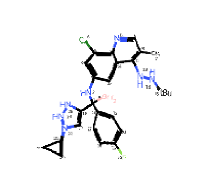 BC(Nc1cc(Cl)c2ncc(C#N)c(NNC(C)(C)C)c2c1)(C1=CN(C2CC2)NN1)c1ccc(F)cc1